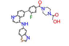 O=C(CO)N1CCN(C(=O)c2ccc(-c3ccc4nccc(Nc5ccc6scnc6c5)c4c3)c(F)c2)CC1